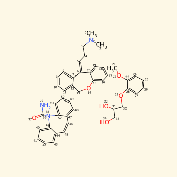 CN(C)CCC=C1c2ccccc2COc2ccccc21.COc1ccccc1OCC(O)CO.NC(=O)N1c2ccccc2C=Cc2ccccc21